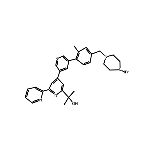 Cc1cc(CN2CCN(C(C)C)CC2)ccc1-c1cncc(-c2cc(-c3ccccn3)nc(C(C)(C)O)c2)c1